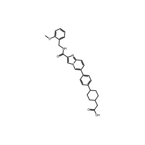 COc1ccccc1CNC(=O)c1cn2cc(-c3ccc(C4CCC(CC(=O)O)CC4)cc3)ccc2n1